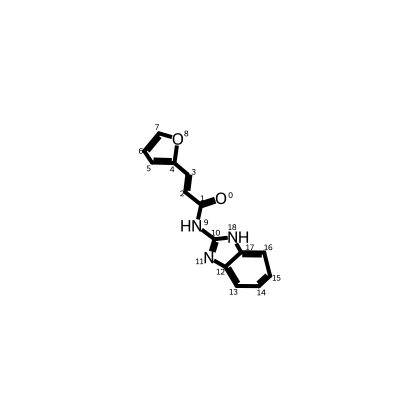 O=C(C=Cc1ccco1)Nc1nc2ccccc2[nH]1